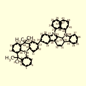 CC1(C)c2ccccc2N2c3ccc(-c4ccc5c(c4)c4c(n5-c5ccccc5)C5C(C=C4)c4ccccc4N5c4ccccc4)cc3C(C)(C)c3cccc1c32